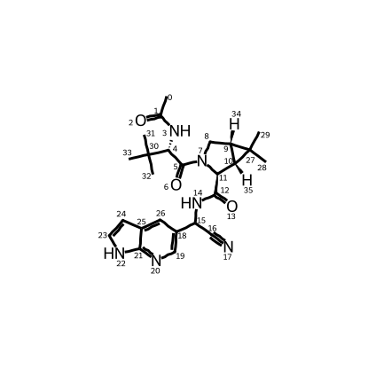 CC(=O)N[C@H](C(=O)N1C[C@H]2[C@@H]([C@H]1C(=O)NC(C#N)c1cnc3[nH]ccc3c1)C2(C)C)C(C)(C)C